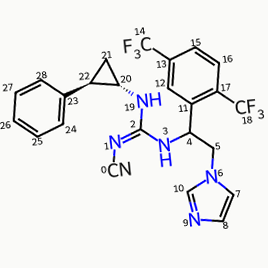 N#C/N=C(\NC(Cn1ccnc1)c1cc(C(F)(F)F)ccc1C(F)(F)F)N[C@H]1C[C@@H]1c1ccccc1